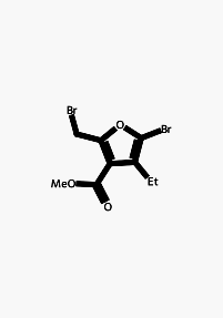 CCc1c(Br)oc(CBr)c1C(=O)OC